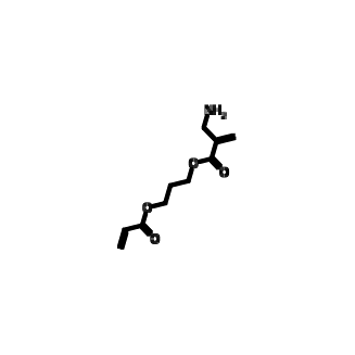 C=CC(=O)OCCCOC(=O)C(=C)CN